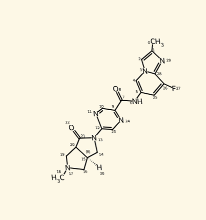 Cc1cn2cc(NC(=O)c3cnc(N4C[C@H]5CN(C)CC5C4=O)cn3)cc(F)c2n1